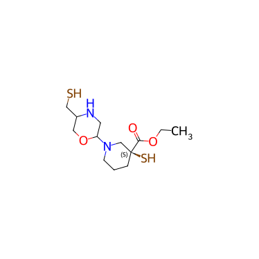 CCOC(=O)[C@]1(S)CCCN(C2CNC(CS)CO2)C1